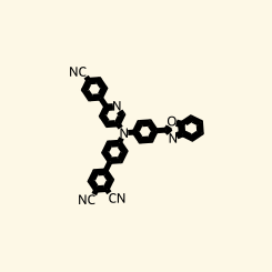 N#Cc1ccc(-c2ccc(N(c3ccc(-c4ccc(C#N)c(C#N)c4)cc3)c3ccc(-c4nc5ccccc5o4)cc3)cn2)cc1